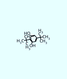 CC(C)(C)c1cc(O)c(C(C)(C)C)c(O)c1